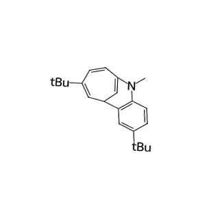 CN1C2=CC(C=C(C(C)(C)C)C=C2)c2cc(C(C)(C)C)ccc21